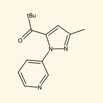 Cc1cc(C(=O)C(C)(C)C)n(-c2cccnc2)n1